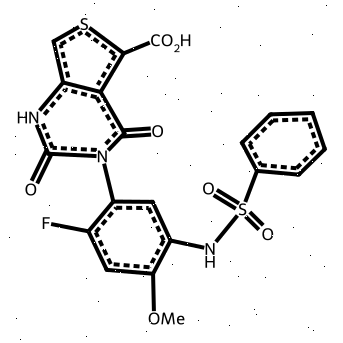 COc1cc(F)c(-n2c(=O)[nH]c3csc(C(=O)O)c3c2=O)cc1NS(=O)(=O)c1ccccc1